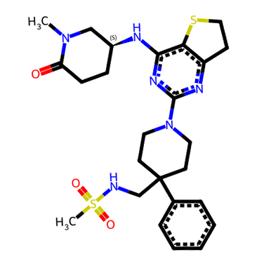 CN1C[C@@H](Nc2nc(N3CCC(CNS(C)(=O)=O)(c4ccccc4)CC3)nc3c2SCC3)CCC1=O